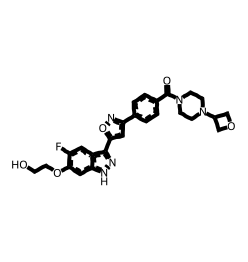 O=C(c1ccc(-c2cc(-c3n[nH]c4cc(OCCO)c(F)cc34)on2)cc1)N1CCN(C2COC2)CC1